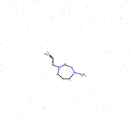 C=CCN1CCCN(C)CC1